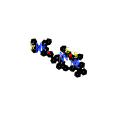 c1ccc2c(c1)Sc1cccc3nc(-n4c5ccc6c(-c7ccc8c(c7)-c7cccc9c7c-8cc7c8c%10ccccc%10ccc8n(-c8nc%10c%11c(cccc%11n8)Sc8ccccc8-%10)c97)cccc6c5c5c6cccc7c6c(cc54)-c4cc(-c5ccc6c8c9c%10ccccc%10c%10ccccc%10c9c9ccccc9c8n(-c8nc9c%10c(cccc%10n8)Sc8ccccc8-9)c6c5)ccc4-7)nc-2c13